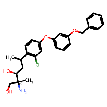 CC(CC(O)[C@](C)(N)CO)c1ccc(Oc2cccc(OCc3ccccc3)c2)cc1Cl